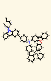 C=C/C=C\C(=C/C)n1c2ccccc2c2cc(-c3ccc(N(c4ccc5c(c4)C(c4ccccc4)(c4ccccc4)c4ccccc4-5)c4ccc5c(c4)oc4ccccc45)cc3)ccc21